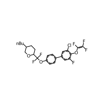 CCCCC1CCC(C(F)(F)Oc2ccc(-c3cc(F)c(OC(F)=C(F)F)c(Cl)c3)cc2)OC1